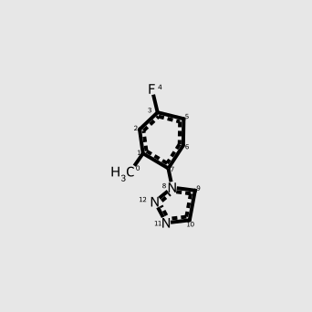 Cc1cc(F)ccc1-n1ccnn1